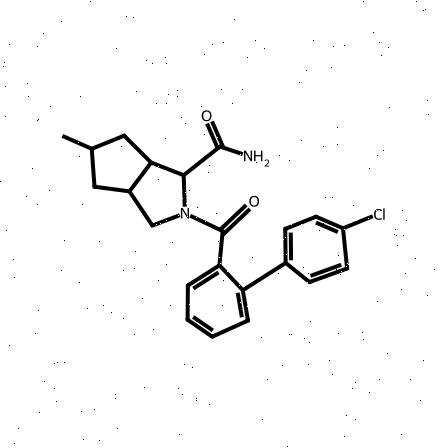 CC1CC2CN(C(=O)c3ccccc3-c3ccc(Cl)cc3)C(C(N)=O)C2C1